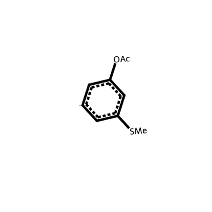 CSc1c[c]cc(OC(C)=O)c1